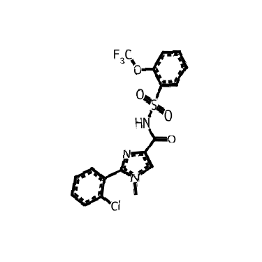 Cn1cc(C(=O)NS(=O)(=O)c2ccccc2OC(F)(F)F)nc1-c1ccccc1Cl